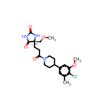 COC[C@]1(CCC(=O)N2CCC(c3cc(C)c(Cl)c(OC)c3)CC2)NC(=O)NC1=O